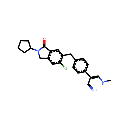 CN/C=C(\C=N)c1ccc(Cc2cc3c(cc2Cl)CN(C2CCCC2)C3=O)cc1